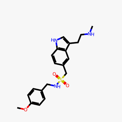 CNCCc1c[nH]c2ccc(CS(=O)(=O)NCc3ccc(OC)cc3)cc12